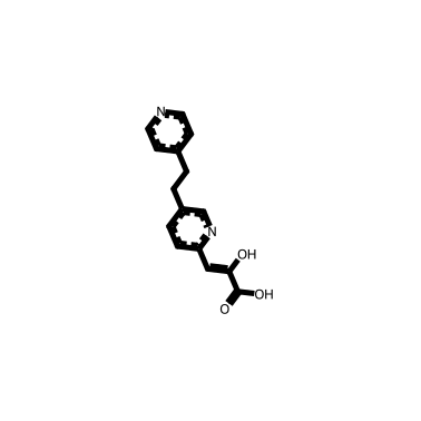 O=C(O)/C(O)=C/c1ccc(CCc2ccncc2)cn1